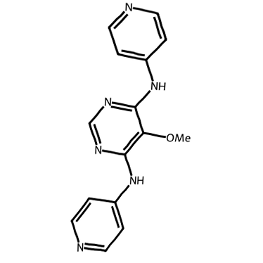 COc1c(Nc2ccncc2)ncnc1Nc1ccncc1